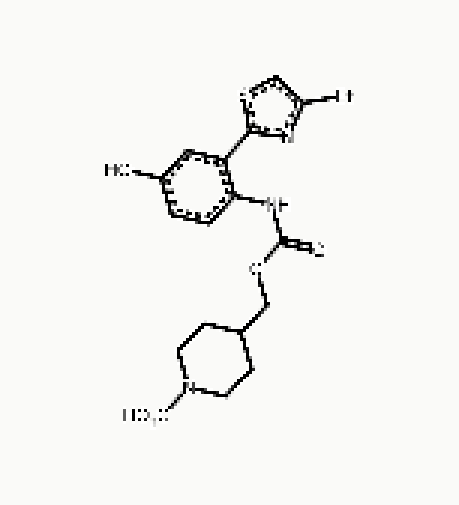 CCc1csc(-c2cc(O)ccc2NC(=O)OCC2CCN(C(=O)O)CC2)n1